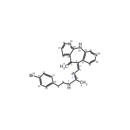 C=C1/C(=C\N=C(/C)NCCc2ccc(Br)cc2)c2ccncc2Nc2ncccc21